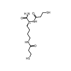 NC(=O)[C@H](CCCCNC(=O)CCS)NC(=O)CCS